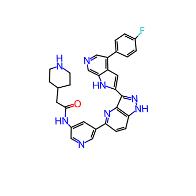 O=C(CC1CCNCC1)Nc1cncc(-c2ccc3[nH]nc(-c4cc5c(-c6ccc(F)cc6)cncc5[nH]4)c3n2)c1